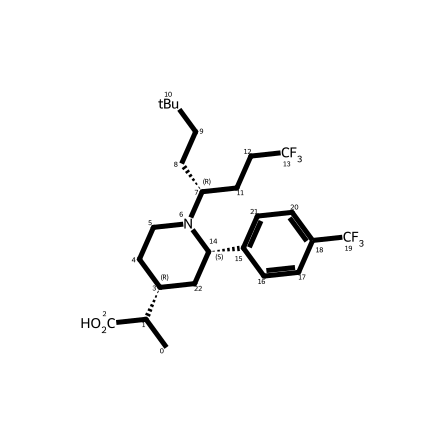 CC(C(=O)O)[C@@H]1CCN([C@H](CCC(C)(C)C)CCC(F)(F)F)[C@H](c2ccc(C(F)(F)F)cc2)C1